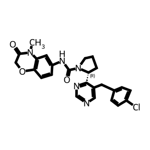 CN1C(=O)COc2ccc(NC(=O)N3CCC[C@@H]3c3ncncc3Cc3ccc(Cl)cc3)cc21